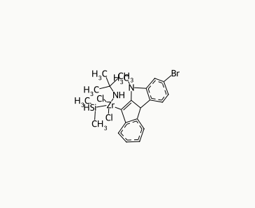 CN1C2=[C]([Zr]([Cl])([Cl])([NH]C(C)(C)C)[SiH](C)C)c3ccccc3C2c2ccc(Br)cc21